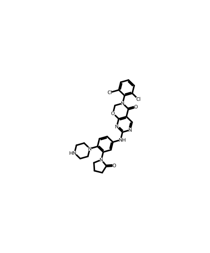 O=C1CCCN1c1cc(Nc2ncc3c(n2)OCN(c2c(Cl)cccc2Cl)C3=O)ccc1N1CCNCC1